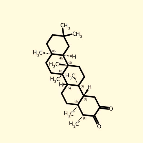 C[C@H]1C(=O)C(=O)C[C@@H]2[C@]1(C)CC[C@H]1[C@@]2(C)CC[C@@]2(C)[C@@H]3CC(C)(C)CC[C@]3(C)CC[C@]12C